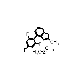 CC1=Cc2c(cccc2-c2c(F)cc(F)cc2F)C1.[CH3][Zr][CH3]